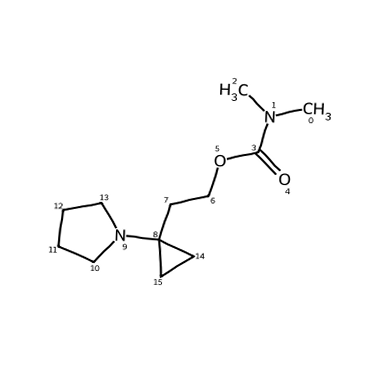 CN(C)C(=O)OCCC1(N2CCCC2)CC1